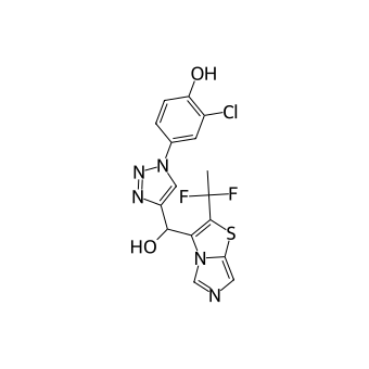 CC(F)(F)c1sc2cncn2c1C(O)c1cn(-c2ccc(O)c(Cl)c2)nn1